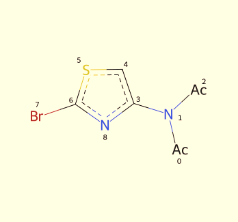 CC(=O)N(C(C)=O)c1csc(Br)n1